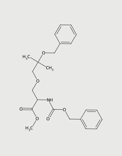 COC(=O)C(COCC(C)(C)OCc1ccccc1)NC(=O)OCc1ccccc1